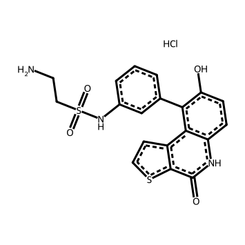 Cl.NCCS(=O)(=O)Nc1cccc(-c2c(O)ccc3[nH]c(=O)c4sccc4c23)c1